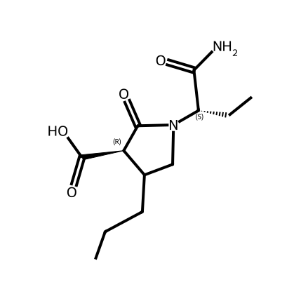 CCCC1CN([C@@H](CC)C(N)=O)C(=O)[C@@H]1C(=O)O